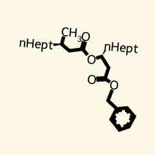 CCCCCCC[C@@H](C)CC(=O)O[C@H](CCCCCCC)CC(=O)OCc1ccccc1